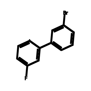 Fc1cc[c]c(-c2cccc(Br)c2)c1